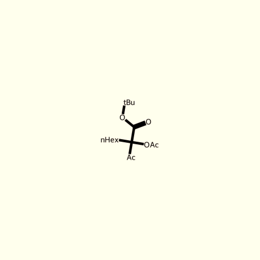 CCCCCCC(OC(C)=O)(C(C)=O)C(=O)OC(C)(C)C